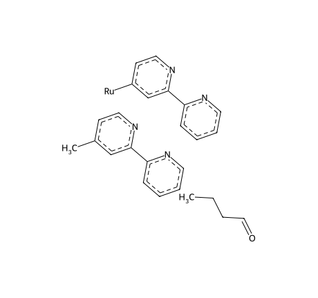 CCCC=O.Cc1ccnc(-c2ccccn2)c1.[Ru][c]1ccnc(-c2ccccn2)c1